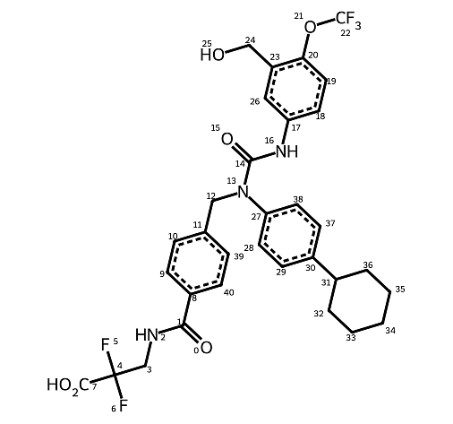 O=C(NCC(F)(F)C(=O)O)c1ccc(CN(C(=O)Nc2ccc(OC(F)(F)F)c(CO)c2)c2ccc(C3CCCCC3)cc2)cc1